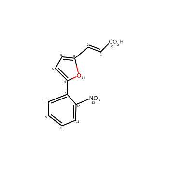 O=C(O)C=Cc1ccc(-c2ccccc2[N+](=O)[O-])o1